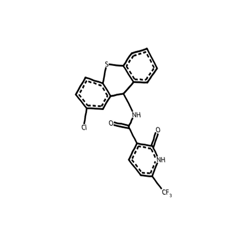 O=C(NC1c2ccccc2Sc2ccc(Cl)cc21)c1ccc(C(F)(F)F)[nH]c1=O